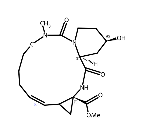 COC(=O)[C@@]12CC1/C=C\CCCCN(C)C(=O)N1CC[C@@H](O)C[C@H]1C(=O)N2